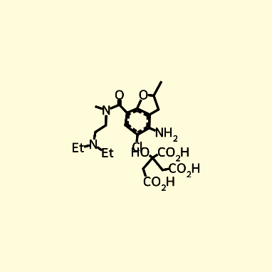 CCN(CC)CCN(C)C(=O)c1cc(Cl)c(N)c2c1OC(C)C2.O=C(O)CC(O)(CC(=O)O)C(=O)O